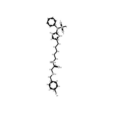 CS(=O)(=O)N(c1ccccc1)c1nc(CCCCCNC(=O)COCc2ccc(F)cc2)cs1